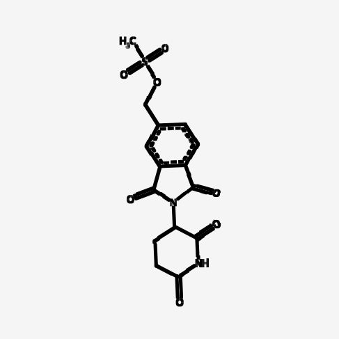 CS(=O)(=O)OCc1ccc2c(c1)C(=O)N(C1CCC(=O)NC1=O)C2=O